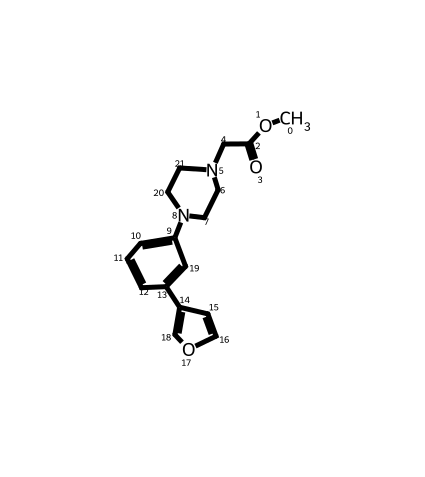 COC(=O)CN1CCN(c2c[c]cc(-c3ccoc3)c2)CC1